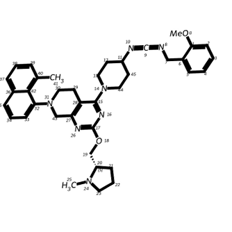 COc1ccccc1CN=C=NC1CCN(c2nc(OC[C@@H]3CCCN3C)nc3c2CCN(c2cccc4cccc(C)c24)C3)CC1